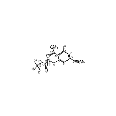 Cc1cc(C#N)cc(CNC(=O)OC(C)(C)C)c1C(=O)O